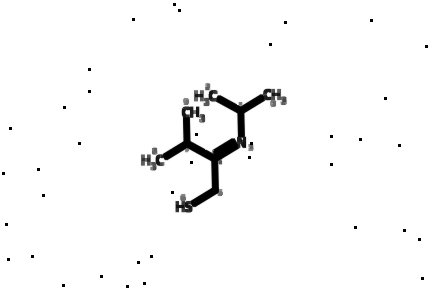 CC(C)/N=C(/CS)C(C)C